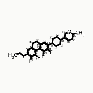 CCCc1cc2c(c(F)c1F)-c1c(cc(C3CCC(C4=CCC(C)OC4)CC3)c(F)c1F)CC2